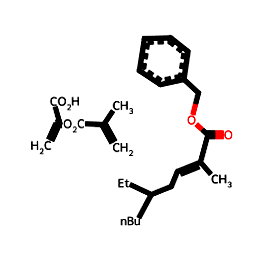 C=C(C)C(=O)O.C=CC(=O)O.CCCCC(CC)CC=C(C)C(=O)OCc1ccccc1